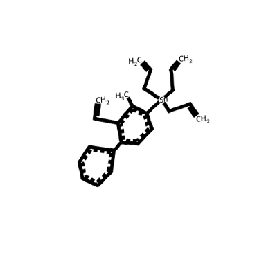 C=C[CH2][Sn]([CH2]C=C)([CH2]C=C)[c]1ccc(-c2ccccc2)c(C=C)c1C